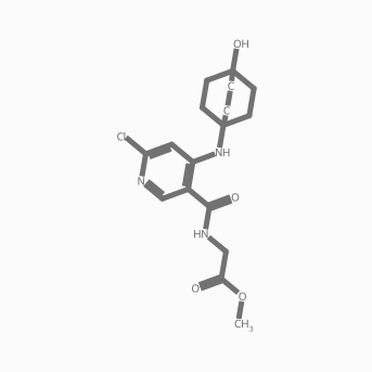 COC(=O)CNC(=O)c1cnc(Cl)cc1NC12CCC(O)(CC1)CC2